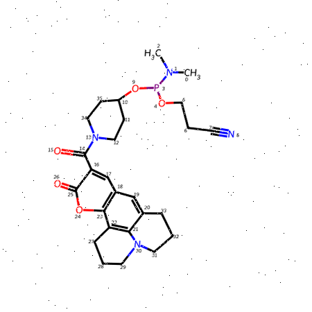 CN(C)P(OCCC#N)OC1CCN(C(=O)c2cc3cc4c5c(c3oc2=O)CCCN5CCC4)CC1